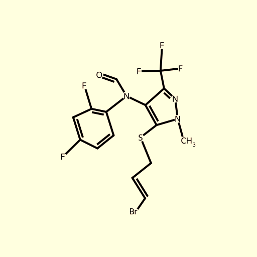 Cn1nc(C(F)(F)F)c(N(C=O)c2ccc(F)cc2F)c1SCC=CBr